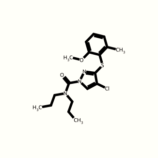 CCCN(CCC)C(=O)n1cc(Cl)c(Sc2c(C)cccc2OC)n1